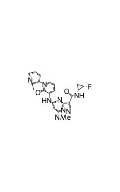 CNc1cc(Nc2cccn(-c3cccnc3C)c2=O)nc2c(C(=O)N[C@@H]3C[C@@H]3F)cnn12